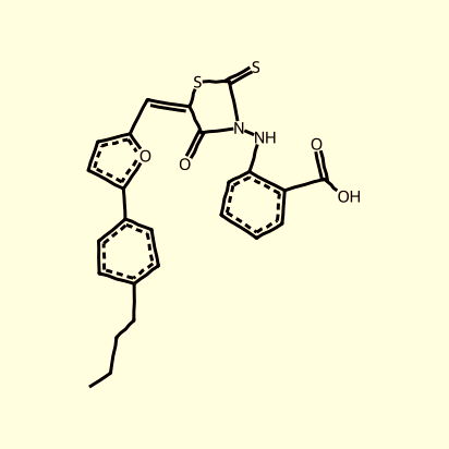 CCCCc1ccc(-c2ccc(C=C3SC(=S)N(Nc4ccccc4C(=O)O)C3=O)o2)cc1